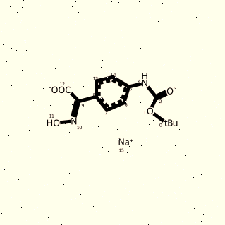 CC(C)(C)OC(=O)Nc1ccc(C(=NO)C(=O)[O-])cc1.[Na+]